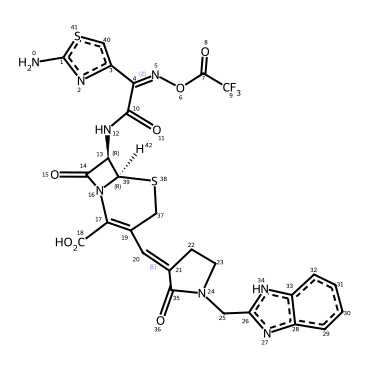 Nc1nc(/C(=N/OC(=O)C(F)(F)F)C(=O)N[C@@H]2C(=O)N3C(C(=O)O)=C(/C=C4\CCN(Cc5nc6ccccc6[nH]5)C4=O)CS[C@H]23)cs1